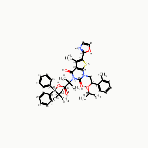 Cc1ccccc1C(Cn1c(=O)n(C(C)(C)C(=O)O[Si](c2ccccc2)(c2ccccc2)C(C)(C)C)c(=O)c2c(C)c(-c3ncco3)sc21)OC(C)C